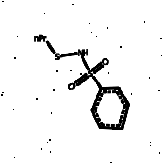 CCCSNS(=O)(=O)c1ccccc1